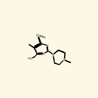 COc1nc(N2CCN(C)CC2)nc(O)c1I